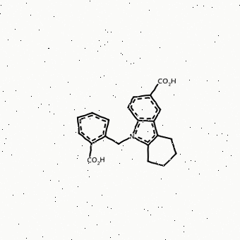 O=C(O)c1ccc2c(c1)c1c(n2Cc2ccccc2C(=O)O)CCCC1